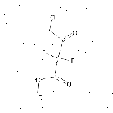 CCOC(=O)C(F)(F)C(=O)CCl